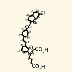 O=C(O)CCCN1CC(C(=O)O)Oc2c(C=Cc3ccc(OCc4ccc5ccc(Cl)cc5n4)cc3)cccc21